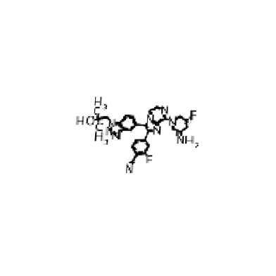 CC(C)(O)Cn1nnc2cc(-c3c(-c4ccc(C#N)c(F)c4)nc4c(N5C[C@H](N)C[C@@H](F)C5)nccn34)ccc21